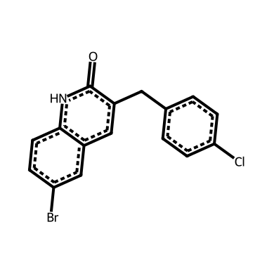 O=c1[nH]c2ccc(Br)cc2cc1Cc1ccc(Cl)cc1